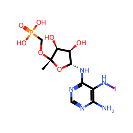 C[C@]1(OCP(=O)(O)O)O[C@@H](Nc2ncnc(N)c2NI)[C@H](O)[C@@H]1O